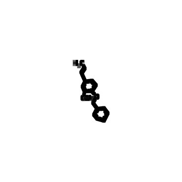 CC=Cc1ccc(OCc2ccccc2)c(OC)c1